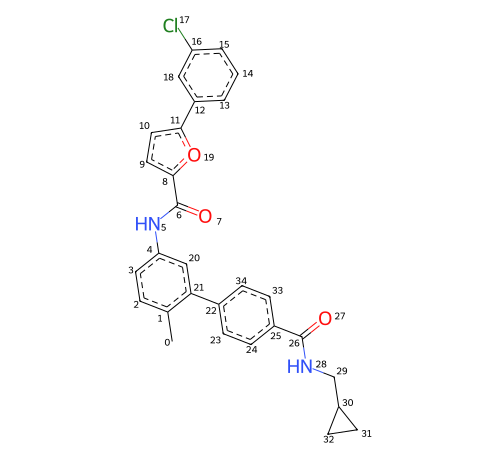 Cc1ccc(NC(=O)c2ccc(-c3cccc(Cl)c3)o2)cc1-c1ccc(C(=O)NCC2CC2)cc1